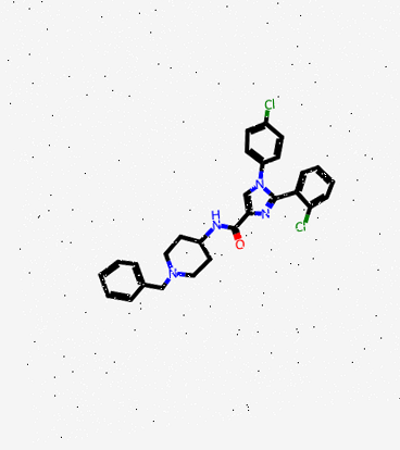 O=C(NC1CCN(Cc2ccccc2)CC1)c1cn(-c2ccc(Cl)cc2)c(-c2ccccc2Cl)n1